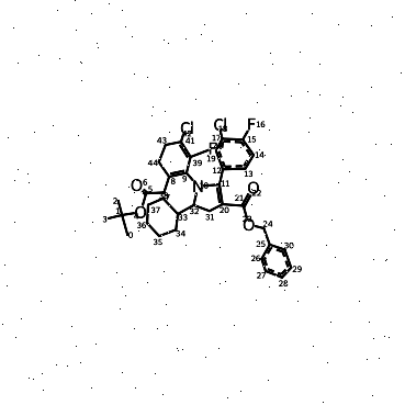 CC(C)(C)OC(=O)CC1=C(N2C(c3ccc(F)c(Cl)c3)=C(C(=O)OCc3ccccc3)CC2C2CCCCC2)C(F)=C(Cl)CC1